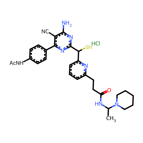 CC(=O)Nc1ccc(-c2nc(C(S)c3cccc(CCC(=O)NC(C)N4CCCCC4)n3)nc(N)c2C#N)cc1.Cl